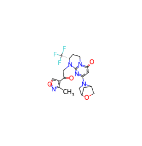 Cc1nocc1C(=O)CN1c2nc(N3CC4CC3CO4)cc(=O)n2CC[C@H]1C(F)(F)F